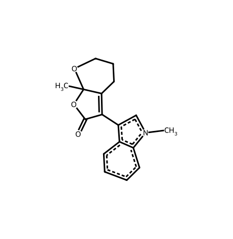 Cn1cc(C2=C3CCCOC3(C)OC2=O)c2ccccc21